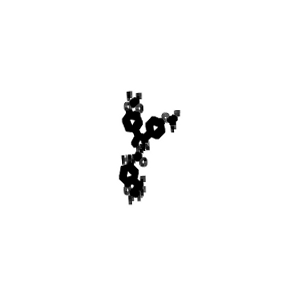 O=C(Nc1ccc2c(c1)C(F)(F)C(F)(F)O2)N1CC(c2ccc3c(c2)OC(F)(F)O3)C(c2ccc(OC(F)F)cc2)=N1